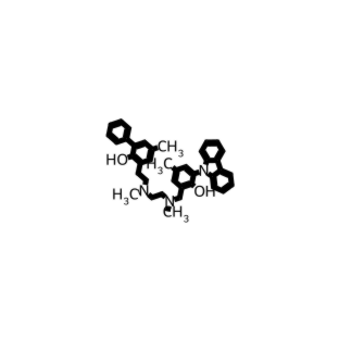 Cc1cc(CCN(C)CCN(C)Cc2cc(C)cc(-n3c4ccccc4c4ccccc43)c2O)c(O)c(-c2ccccc2)c1